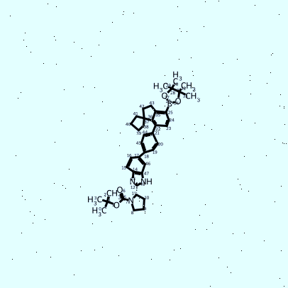 CC(C)(C)OC(=O)N1CCC[C@H]1c1nc2ccc(-c3ccc(-c4ccc(B5OC(C)(C)C(C)(C)O5)c5c4C4(CCCC4)CC5)cc3)cc2[nH]1